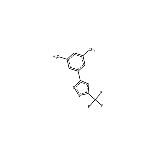 Cc1cc(C)cc(-c2[c]c(C(F)(F)F)ns2)c1